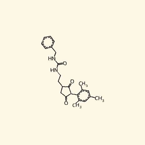 Cc1cc(C)c(C2C(=O)CC(CCNC(=O)NCc3ccccc3)C2=O)c(C)c1